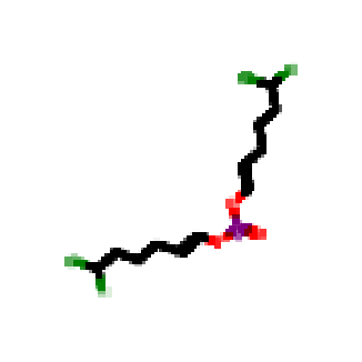 O=[PH](OC=CCCCC(Cl)Cl)OC=CCCCC(Cl)Cl